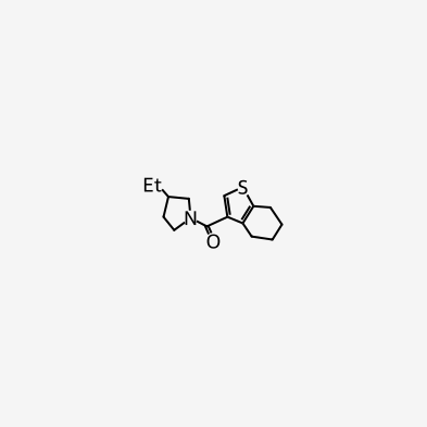 CCC1CCN(C(=O)c2csc3c2CCCC3)C1